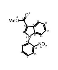 COC(=O)c1cn(-c2ccccc2[N+](=O)[O-])c2ccccc12